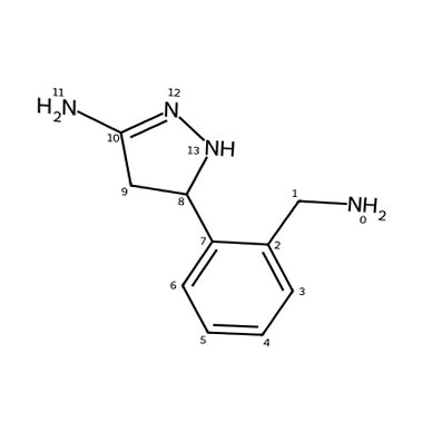 NCc1ccccc1C1CC(N)=NN1